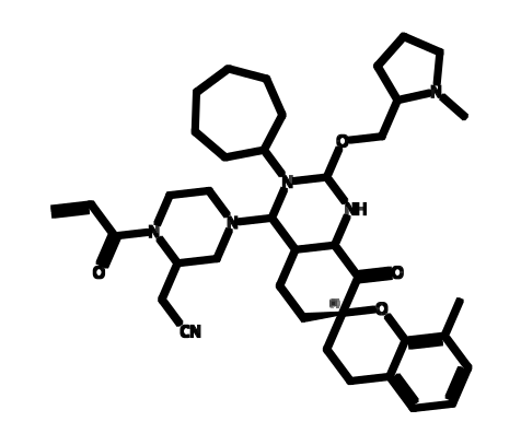 C=CC(=O)N1CCN(C2C3CC[C@@]4(CCc5cccc(C)c5O4)C(=O)C3NC(OCC3CCCN3C)N2C2CCCCCC2)CC1CC#N